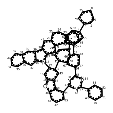 c1ccc(-c2ccc(-c3ccc(-c4cc5c(cc4-n4c6cc7ccccc7cc6c6cc7ccccc7cc64)oc4cccc(-c6nc(-c7ccccc7)nc(-c7ccc(-c8ccccc8)cc7)n6)c45)cc3)cc2)cc1